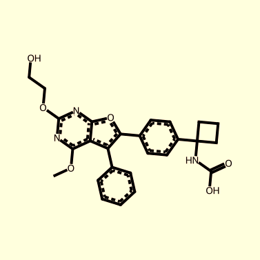 COc1nc(OCCO)nc2oc(-c3ccc(C4(NC(=O)O)CCC4)cc3)c(-c3ccccc3)c12